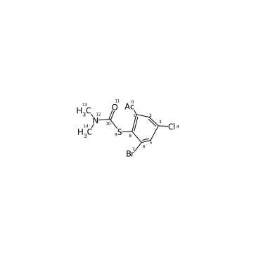 CC(=O)c1cc(Cl)cc(Br)c1SC(=O)N(C)C